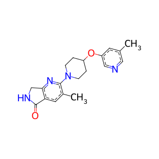 Cc1cncc(OC2CCN(c3nc4c(cc3C)C(=O)NC4)CC2)c1